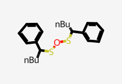 CCCCC(SOSC(CCCC)c1ccccc1)c1ccccc1